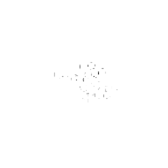 Cc1cc2c3c(c1)N(c1cccc4sc5ccccc5c14)c1cc4c(cc1B3c1cc(C(C)(C)C)ccc1N2c1ccc(C(C)(C)C)cc1)C(C)(C)c1ccccc1C4(C)C